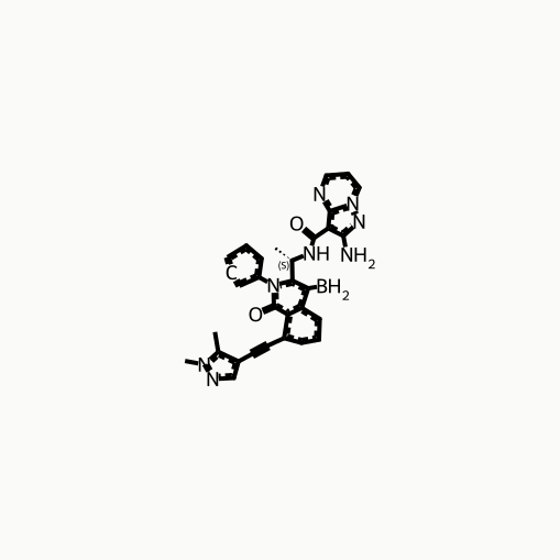 Bc1c([C@H](C)NC(=O)c2c(N)nn3cccnc23)n(-c2ccccc2)c(=O)c2c(C#Cc3cnn(C)c3C)cccc12